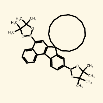 CC1(C)OB(c2ccc3c(c2)C2(CCCCCCCCCCCCCC2)c2cc(B4OC(C)(C)C(C)(C)O4)c4ccccc4c2-3)OC1(C)C